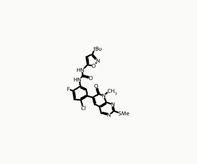 CSc1ncc2cc(-c3cc(NC(=O)Nc4cc(C(C)(C)C)no4)c(F)cc3Cl)c(=O)n(C)c2n1